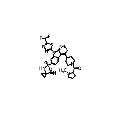 CN1CCC[C@@H]1C(=O)N1CCC(c2ncnc3c2c2ccc(S(=O)(=O)NC4(C#N)CC4)cc2n3-c2nnc(C(F)F)s2)CC1